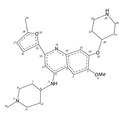 COc1cc2c(NC3CCN(C)CC3)cc(-c3ccc(C)o3)nc2cc1OC1CCNCC1